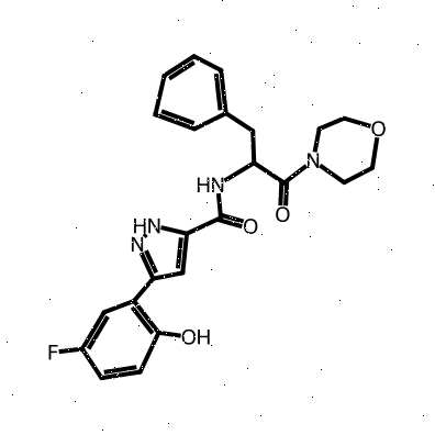 O=C(NC(Cc1ccccc1)C(=O)N1CCOCC1)c1cc(-c2cc(F)ccc2O)n[nH]1